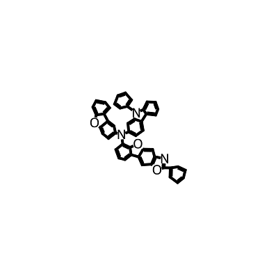 c1ccc(-c2nc3cc4oc5c(N(c6ccc7oc8ccccc8c7c6)c6ccc7c8ccccc8n(-c8ccccc8)c7c6)cccc5c4cc3o2)cc1